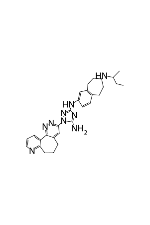 CCC(C)N[C@H]1CCc2ccc(Nc3nc(N)n(-c4cc5c(nn4)-c4cccnc4CCC5)n3)cc2CC1